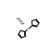 Br.Br.Br.C1=CC[C]([Co][C]2=CC=CC2)=C1